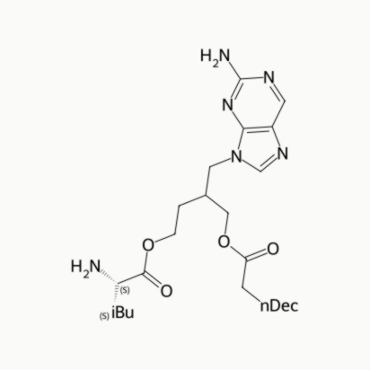 CCCCCCCCCCCC(=O)OCC(CCOC(=O)[C@@H](N)[C@@H](C)CC)Cn1cnc2cnc(N)nc21